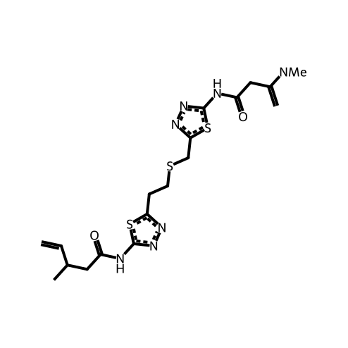 C=CC(C)CC(=O)Nc1nnc(CCSCc2nnc(NC(=O)CC(=C)NC)s2)s1